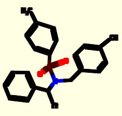 CCC(c1ccccc1)N(Cc1ccc(C#N)cc1)S(=O)(=O)c1ccc(C)cc1